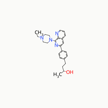 CCN1CCN(c2nc(-c3ccc(CCC(C)O)cc3)cc3cccnc23)CC1